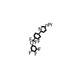 CCCc1ccc(-c2ccc(C(F)(F)Oc3cc(F)c(F)c(F)c3)c(F)c2)nc1